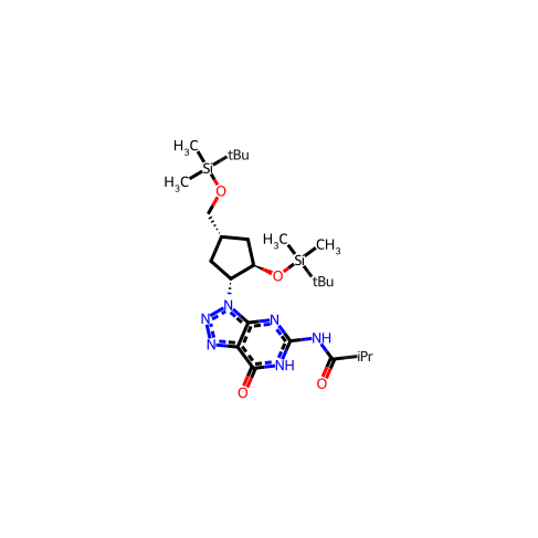 CC(C)C(=O)Nc1nc2c(nnn2[C@@H]2C[C@H](CO[Si](C)(C)C(C)(C)C)C[C@H]2O[Si](C)(C)C(C)(C)C)c(=O)[nH]1